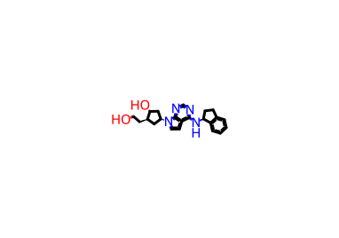 OCC[C@@H]1C[C@@H](n2ccc3c(N[C@H]4CCc5ccccc54)ncnc32)C[C@@H]1O